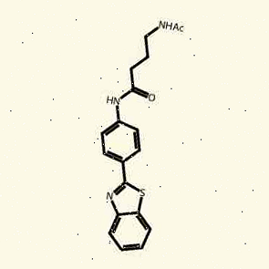 CC(=O)NCCCC(=O)Nc1ccc(-c2nc3ccccc3s2)cc1